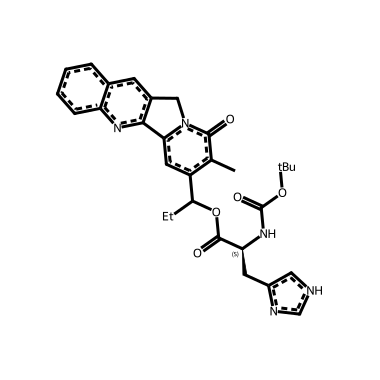 CCC(OC(=O)[C@H](Cc1c[nH]cn1)NC(=O)OC(C)(C)C)c1cc2n(c(=O)c1C)Cc1cc3ccccc3nc1-2